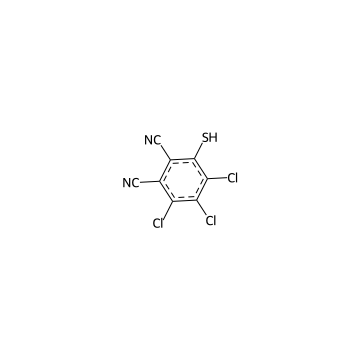 N#Cc1c(S)c(Cl)c(Cl)c(Cl)c1C#N